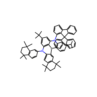 CC(C)c1ccc2c(c1)N(c1cccc3c1C(c1ccccc1)(c1ccccc1)c1ccccc1-3)c1cc(C(C)(C)C)cc3c1B2c1cc2c(cc1N3c1ccc3c(c1)C(C)(C)CCC3(C)C)C(C)(C)CCC2(C)C